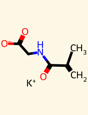 C=C(C)C(=O)NCC(=O)[O-].[K+]